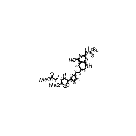 COC(=O)CC[C@H](NC(=O)c1ccc(CCC2CNc3nc(NC(=O)C(C)(C)C)nc(O)c3C2)o1)C(=O)OC